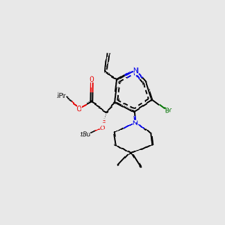 C=Cc1ncc(Br)c(N2CCC(C)(C)CC2)c1[C@H](OC(C)(C)C)C(=O)OC(C)C